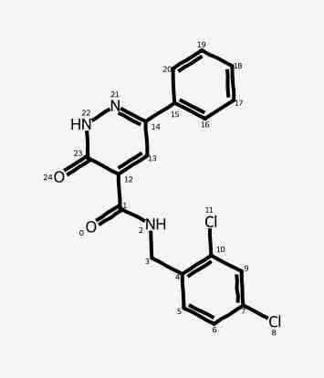 O=C(NCc1ccc(Cl)cc1Cl)c1cc(-c2ccccc2)n[nH]c1=O